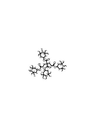 CN1C(C)(C)CC(OC(=O)CCC(CCC(=O)OC2CC(C)(C)N(C)C(C)(C)C2)(C(=O)OC2CC(C)(C)N(C)C(C)(C)C2)C(=O)OC2CC(C)(C)N(C)C(C)(C)C2)CC1(C)C